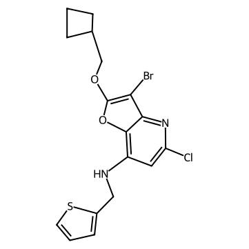 Clc1cc(NCc2cccs2)c2oc(OCC3CCC3)c(Br)c2n1